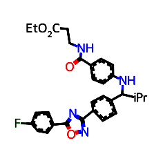 CCOC(=O)CCNC(=O)c1ccc(NC(c2ccc(-c3noc(-c4ccc(F)cc4)n3)cc2)C(C)C)cc1